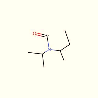 CCC(C)N([C]=O)C(C)C